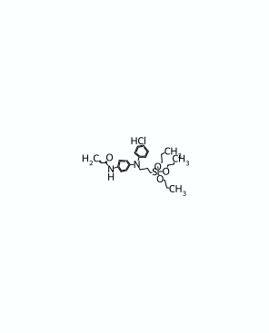 C=CC(=O)Nc1ccc(N(CCC[Si](OCCC)(OCCC)OCCC)c2ccccc2)cc1.Cl